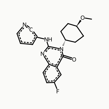 CO[C@H]1CC[C@H](n2c(Nc3cccnc3)nc3ccc(F)cc3c2=O)CC1